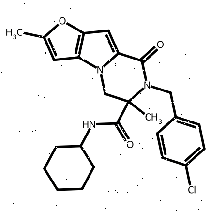 Cc1cc2c(cc3n2CC(C)(C(=O)NC2CCCCC2)N(Cc2ccc(Cl)cc2)C3=O)o1